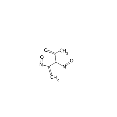 C=C(N=O)C(N=O)C(C)=O